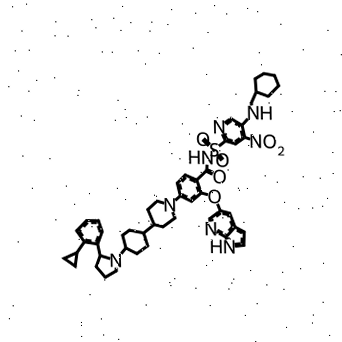 O=C(NS(=O)(=O)c1cc([N+](=O)[O-])c(NCC2CCCCC2)cn1)c1ccc(N2CCC(C3CCC(N4CCCC4c4ccccc4C4CC4)CC3)CC2)cc1Oc1cnc2[nH]ccc2c1